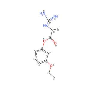 CCOc1cccc(OC(=O)C(C)NC(=N)N)c1